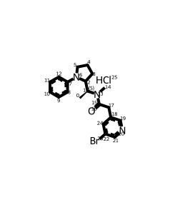 C[C@@H](C1CCCN1c1ccccc1)N(C)C(=O)Cc1cncc(Br)c1.Cl